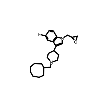 Fc1ccc2c(c1)c(C1CCN(CC3CCCCCCC3)CC1)cn2CC1CO1